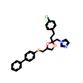 Clc1ccc(CCC2(Cn3ccnc3)OCC(CSc3ccc(-c4ccccc4)cc3)O2)cc1